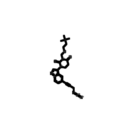 C[Si](C)(C)CCOCN1C(=O)CCN(c2cnn3ccc(C#CCN=[N+]=[N-])cc23)C1=O